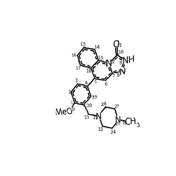 COc1ccc(-c2cc3n[nH]c(=O)n3c3ccccc23)cc1CN1CCN(C)CC1